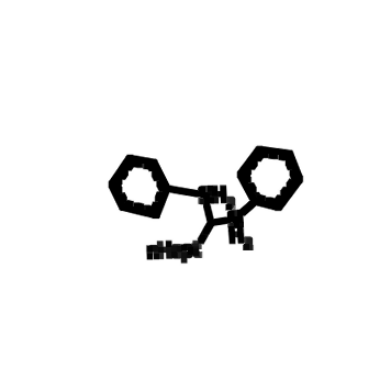 CCCCCCCC([SiH2]c1ccccc1)[SiH2]c1ccccc1